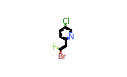 F/C(Br)=C\c1ccc(Cl)cn1